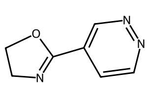 c1cc(C2=NCCO2)cnn1